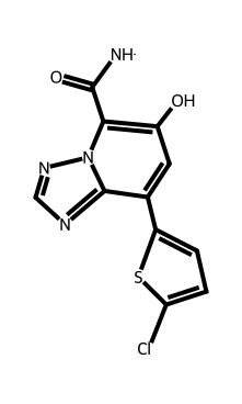 [NH]C(=O)c1c(O)cc(-c2ccc(Cl)s2)c2ncnn12